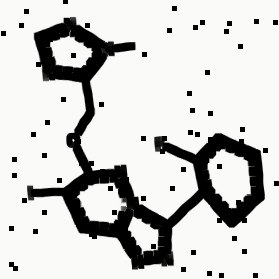 Cn1ncnc1COc1nn2c(-c3ccccc3F)nnc2cc1I